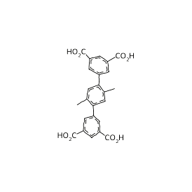 Cc1cc(-c2cc(C(=O)O)cc(C(=O)O)c2)c(C)cc1-c1cc(C(=O)O)cc(C(=O)O)c1